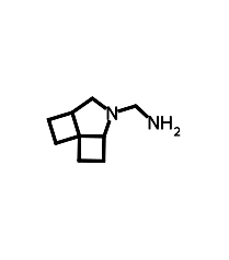 NCN1CC2CCC23CCC13